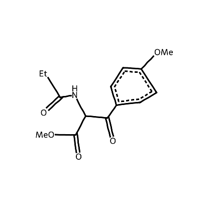 CCC(=O)NC(C(=O)OC)C(=O)c1ccc(OC)cc1